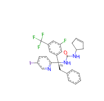 O=C(NC1CC=CC1)N[C@@](Cc1ccccc1)(c1cc(F)cc(C(F)(F)F)c1)c1ccc(I)cn1